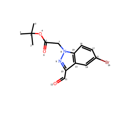 CC(C)(C)OC(=O)Cn1nc(C=O)c2cc(Br)ccc21